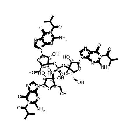 CC(C)C(=O)n1c(N)nc2c(ncn2[C@@H]2O[C@H](CO)[C@](O)(OP(=O)(O[C@@]3(O)[C@@H](CO)O[C@@H](n4cnc5c(=O)n(C(=O)C(C)C)c(N)nc54)[C@@H]3O)O[C@@]3(O)[C@@H](CO)O[C@@H](n4cnc5c(=O)n(C(=O)C(C)C)c(N)nc54)[C@@H]3O)[C@H]2O)c1=O